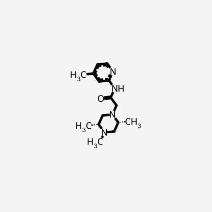 Cc1ccnc(NC(=O)CN2C[C@@H](C)N(C)C[C@H]2C)c1